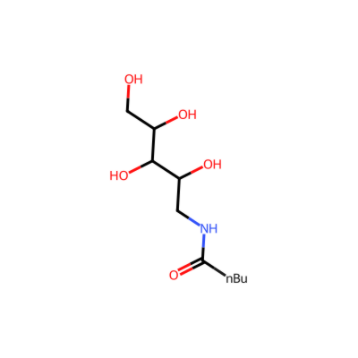 CCCCC(=O)NCC(O)C(O)C(O)CO